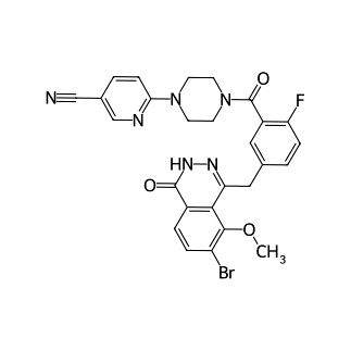 COc1c(Br)ccc2c(=O)[nH]nc(Cc3ccc(F)c(C(=O)N4CCN(c5ccc(C#N)cn5)CC4)c3)c12